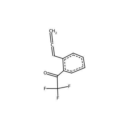 C=C=Cc1ccccc1C(=O)C(F)(F)F